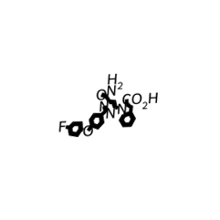 NC(=O)c1cc(N2c3ccccc3CC2C(=O)O)nc(-c2ccc(Oc3ccc(F)cc3)cc2)n1